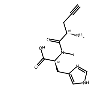 C#CC[C@H](N)C(=O)N(I)[C@@H](Cc1c[nH]cn1)C(=O)O